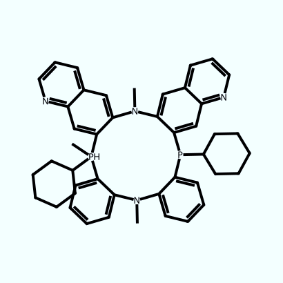 CN1c2ccccc2P(C2CCCCC2)c2cc3ncccc3cc2N(C)c2cc3cccnc3cc2[PH](C)(C2CCCCC2)c2ccccc21